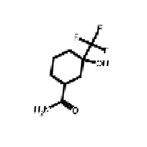 NC(=O)C1CCCC(O)(C(F)(F)F)C1